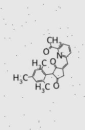 CC(=O)c1cccc(C=C2CC(=O)C(c3c(C)cc(C)cc3C)C2=O)n1